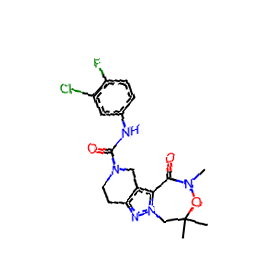 CN1OC(C)(C)Cn2nc3c(c2C1=O)CN(C(=O)Nc1ccc(F)c(Cl)c1)CC3